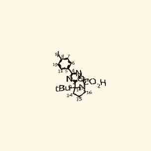 CC(C)(C)C1(c2nc(-c3ccc(I)cc3)no2)CCCN1C(=O)O